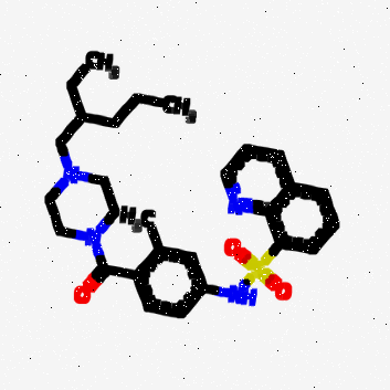 CCCC(CC)CN1CCN(C(=O)c2ccc(NS(=O)(=O)c3cccc4cccnc34)cc2C)CC1